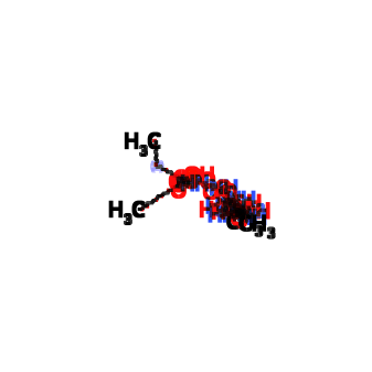 CCCCCCCC/C=C\CCCCCCCC(=O)O[C@H](COC(=O)CCCCCCCCCCCCCCC)COP(=O)(O)OCCNC(=O)CCC(=O)NCC(=O)OC(=O)CC[C@@H](NC(=O)[C@H](CO)NCC(C)O[C@H]1[C@H](O)[C@@H](CO)O[C@H](O)[C@@H]1NC(C)=O)C(N)=O